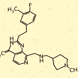 C=C1NC(CCc2ccc(F)c(C)c2)=Nc2c1ccnc2CNCC1CCN(C)CC1